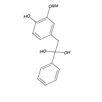 COc1cc(CC(O)(O)c2ccccc2)ccc1O